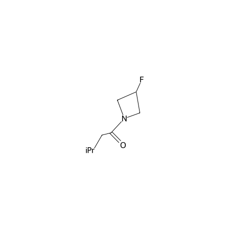 CC(C)CC(=O)N1CC(F)C1